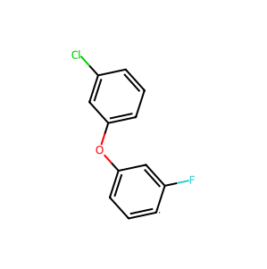 Fc1[c]ccc(Oc2cccc(Cl)c2)c1